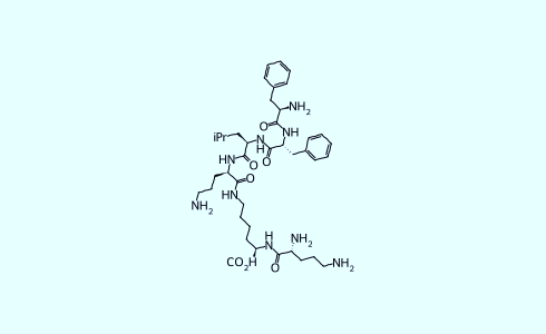 CC(C)C[C@@H](NC(=O)[C@@H](Cc1ccccc1)NC(=O)[C@H](N)Cc1ccccc1)C(=O)N[C@H](CCCN)C(=O)NCCCC[C@@H](NC(=O)[C@H](N)CCCN)C(=O)O